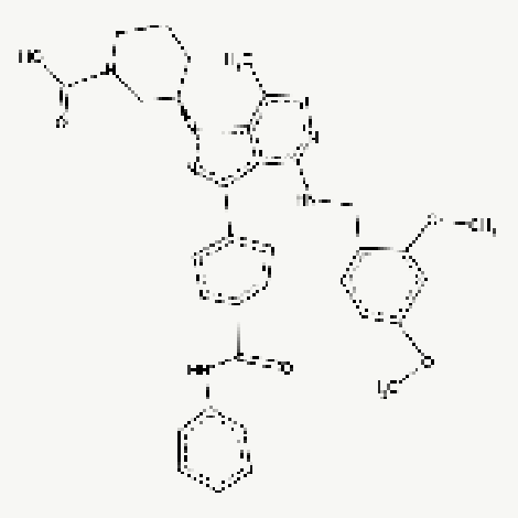 COc1ccc(CNc2ncc(C)c3c2c(-c2ccc(C(=O)Nc4ccccn4)cc2)nn3[C@@H]2CCCN(C(=O)O)C2)c(OC)c1